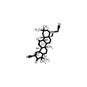 CC1(C)CC[C@]2(CNCC#N)CC[C@]3(C)[C@H](C(=O)C[C@@H]4[C@@]5(C)C=C(C#N)C(=O)C(C)(C)[C@@H]5CC[C@]43C)[C@@H]2C1